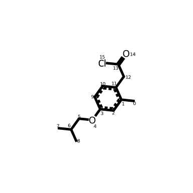 Cc1cc(OCC(C)C)ccc1CC(=O)Cl